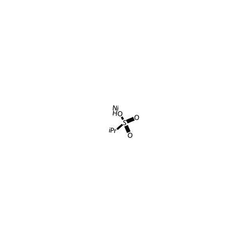 CC(C)S(=O)(=O)O.[Ni]